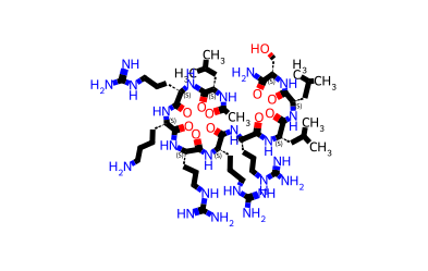 CC(=O)N[C@@H](CC(C)C)C(=O)N[C@@H](CCCNC(=N)N)C(=O)N[C@@H](CCCCN)C(=O)N[C@@H](CCCNC(=N)N)C(=O)N[C@@H](CCCNC(=N)N)C(=O)N[C@@H](CCCNC(=N)N)C(=O)N[C@@H](CC(C)C)C(=O)N[C@@H](CC(C)C)C(=O)N[C@@H](CO)C(N)=O